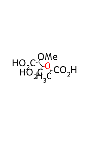 COC(C(=O)O)C(OC(C)C(=O)O)C(=O)O